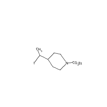 CCOC(=O)N1CCC(C(C)I)CC1